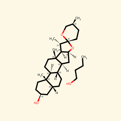 CCCCO.C[C@H]1CC[C@@]2(OC1)O[C@H]1C[C@H]3[C@@H]4CC[C@@H]5C[C@@H](O)CC[C@]5(C)[C@H]4CC[C@]3(C)[C@H]1[C@@H]2C